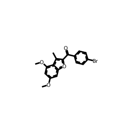 COc1cc(OC)c2c(C)c(C(=O)c3ccc(Br)cc3)oc2c1